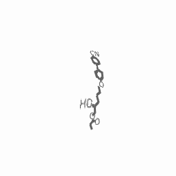 C=CC(=O)OCC(O)CCCCOc1ccc(-c2ccc(C#N)cc2)cc1